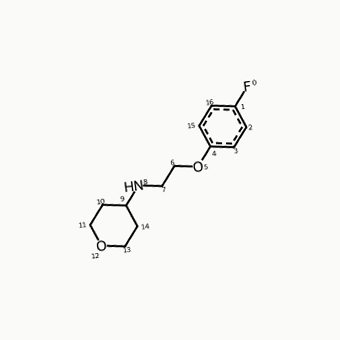 Fc1ccc(OCCNC2CCOCC2)cc1